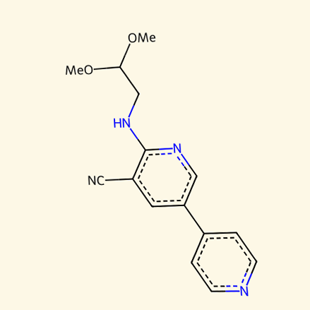 COC(CNc1ncc(-c2ccncc2)cc1C#N)OC